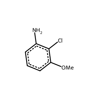 COc1cccc(N)c1Cl